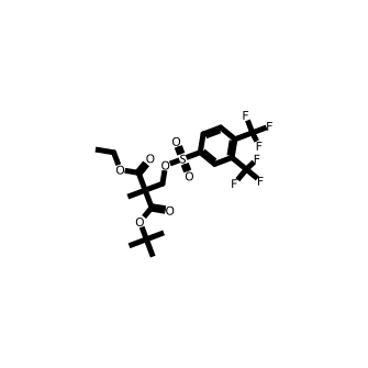 CCOC(=O)C(C)(COS(=O)(=O)c1ccc(C(F)(F)F)c(C(F)(F)F)c1)C(=O)OC(C)(C)C